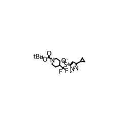 Cn1nc(C2CC2)cc1[S+]([O-])C(F)(F)C1CCN(C(=O)OC(C)(C)C)CC1